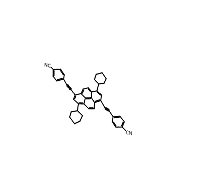 N#Cc1ccc(C#Cc2cc(C3CCCCC3)c3ccc4c(C#Cc5ccc(C#N)cc5)cc(C5CCCCC5)c5ccc2c3c45)cc1